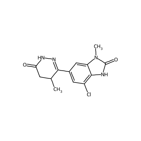 CC1CC(=O)NN=C1c1cc(Cl)c2[nH]c(=O)n(C)c2c1